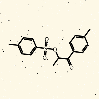 Cc1ccc(C(=O)C(C)OS(=O)(=O)c2ccc(C)cc2)cc1